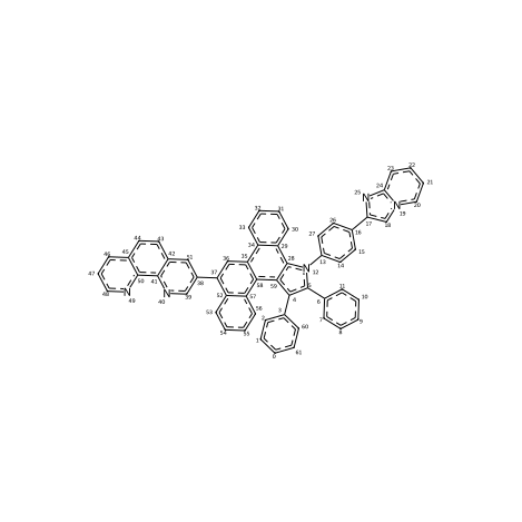 c1ccc(-c2c(-c3ccccc3)n(-c3ccc(-c4cn5ccccc5n4)cc3)c3c4ccccc4c4cc(-c5cnc6c(ccc7cccnc76)c5)c5ccccc5c4c23)cc1